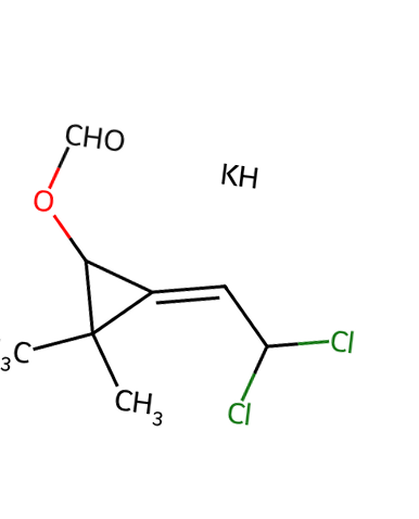 CC1(C)C(=CC(Cl)Cl)C1OC=O.[KH]